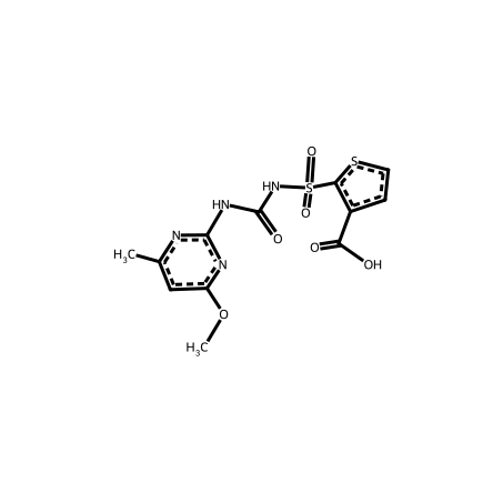 COc1cc(C)nc(NC(=O)NS(=O)(=O)c2sccc2C(=O)O)n1